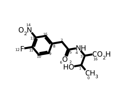 CC(O)C(NC(=O)Cc1ccc(F)c([N+](=O)[O-])c1)C(=O)O